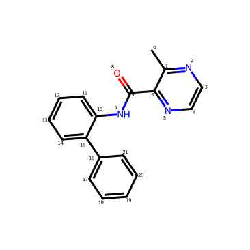 Cc1nccnc1C(=O)Nc1ccccc1-c1ccccc1